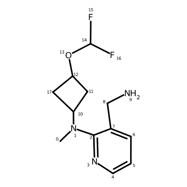 CN(c1ncccc1CN)C1CC(OC(F)F)C1